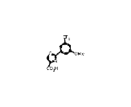 COc1cc(-c2nc(C(=O)O)co2)cc(C(F)(F)F)c1